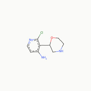 Nc1ccnc(Cl)c1C1CNCCO1